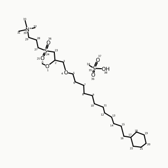 COC(COCCCCCCCCCCCCC1CCCCC1)CS(=O)(=O)CCC[N+](C)(C)C.CS(=O)(=O)O